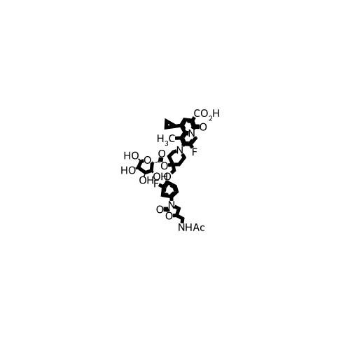 CC(=O)NCC1CN(c2ccc(OCC3(OC(=O)[C@H]4O[C@@H](O)[C@H](O)[C@@H](O)[C@@H]4O)CCN(c4c(F)cn5c(=O)c(C(=O)O)cc(C6CC6)c5c4C)CC3)c(F)c2)C(=O)O1